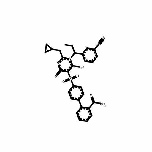 CCC(c1cccc(C#N)c1)n1c(CC2CC2)nc(=O)c(S(=O)(=O)c2ccc(-c3ccccc3C(N)=O)cc2)c1O